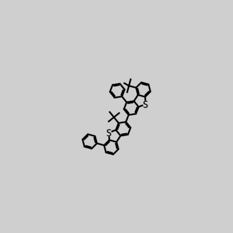 CC(C)(C)c1c(-c2cc(-c3ccccc3)c3c(c2)sc2cccc(C(C)(C)C)c23)ccc2c1sc1c(-c3ccccc3)cccc12